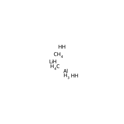 C.C.[AlH3].[HH].[HH].[LiH]